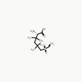 C=CS(=O)(=O)CC(C)(C)CC(C)(C)[C@H](N)C(=O)O